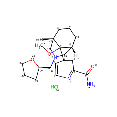 COC1(c2ccnc(C(N)=O)c2)[C@@H]2CCC[C@H]1CN(C[C@H]1CCCO1)C2.Cl